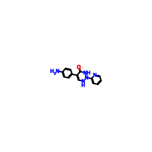 Nc1ccc(C2=CNN(c3ccccn3)NC2=O)cc1